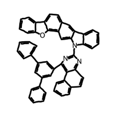 c1ccc(-c2cc(-c3ccccc3)cc(-c3nc(-n4c5ccccc5c5cc6ccc7c8ccccc8oc7c6cc54)nc4ccc5ccccc5c34)c2)cc1